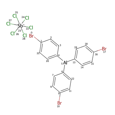 Brc1cc[c]([Al]([c]2ccc(Br)cc2)[c]2ccc(Br)cc2)cc1.[Cl][Sb-]([Cl])([Cl])([Cl])([Cl])[Cl]